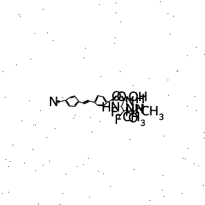 CNC(=O)NC(C)(C(F)F)[C@H](NC(=O)c1ccc(C#Cc2ccc(C#N)cc2)cc1)C(=O)NO